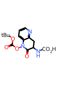 CC(C)(C)OC(=O)ON1C(=O)C(NC(=O)O)Cc2ncccc21